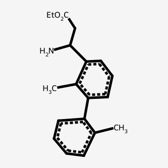 CCOC(=O)CC(N)c1cccc(-c2ccccc2C)c1C